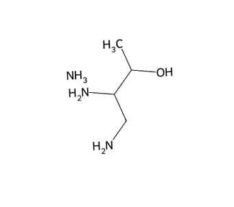 CC(O)C(N)CN.N